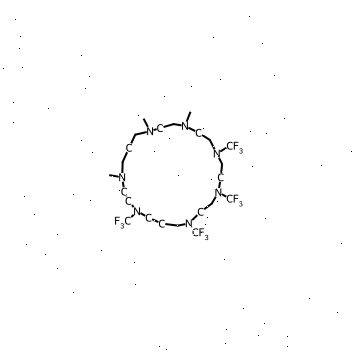 CN1CCCN(C)CCN(C(F)(F)F)CCCN(C(F)(F)F)CCN(C(F)(F)F)CCN(C(F)(F)F)CCN(C)CC1